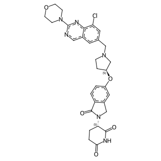 O=C1CC[C@H](N2Cc3cc(O[C@H]4CCN(Cc5cc(Cl)c6nc(N7CCOCC7)ncc6c5)C4)ccc3C2=O)C(=O)N1